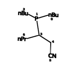 CCCCP(CCCC)C(CC#N)CCC